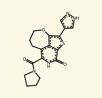 O=C(c1[nH]c(=O)c2sc(-c3cn[nH]c3)c3c2c1CCCO3)N1CCCC1